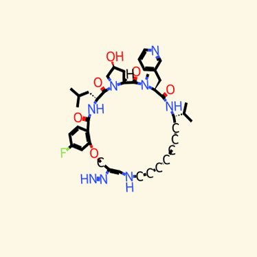 CC(C)C[C@H]1NC(=O)c2ccc(F)cc2OC/C(N=N)=C/NCCCCCCC[C@@H](C(C)C)NC(=O)[C@H](Cc2cccnc2)N(C)C(=O)[C@H]2C[C@H](O)CN2C1=O